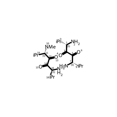 CC(C)[C@H](N)C(=O)C(=O)[C@@H](N)C(C)C.CN[C@H](C(=O)C(=O)[C@@H](N)C(C)C)C(C)C